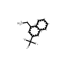 C[CH]c1cc(C(F)(F)F)cc2ccccc12